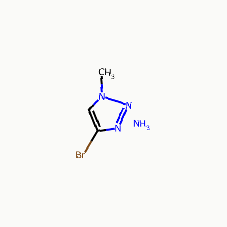 Cn1cc(Br)nn1.N